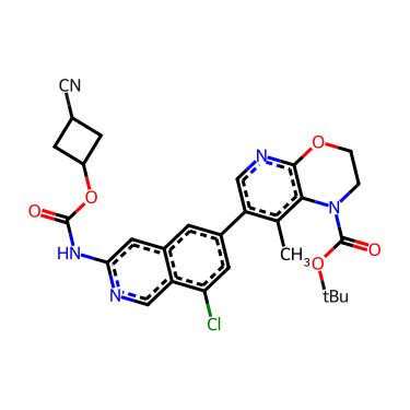 Cc1c(-c2cc(Cl)c3cnc(NC(=O)OC4CC(C#N)C4)cc3c2)cnc2c1N(C(=O)OC(C)(C)C)CCO2